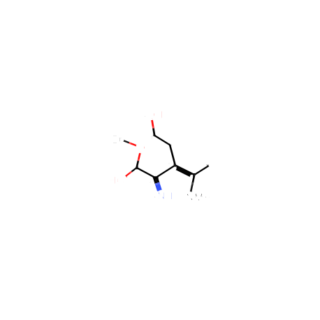 CCOC(O)C(=N)/C(CCO)=C(/C)NC